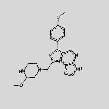 COc1ccc(-c2nc(CN3CCNC(OC)C3)n3c2cnc2[nH]ccc23)cc1